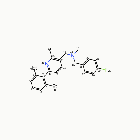 CCc1cccc(CC)c1-c1ccc(CN(C)Cc2ccc(F)cc2)c(C)n1